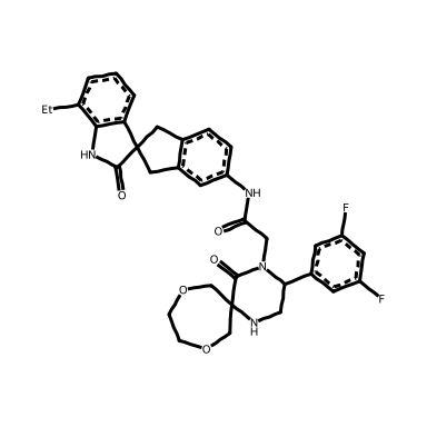 CCc1cccc2c1NC(=O)C21Cc2ccc(NC(=O)CN3C(=O)C4(COCCOC4)NCC3c3cc(F)cc(F)c3)cc2C1